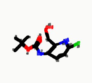 CC(C)(C)OC(=O)NC1=C(CO)NC(Cl)CC1